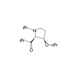 CCCO[C@@H]1CCN(C(C)C)[C@@H]1C(=O)C(C)C